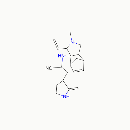 C=CC1N(C)CC2C3C=CC(C3)C21NC(C#N)CC1CCNC1=C